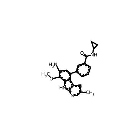 COc1c(N)cc(-c2cccc(C(=O)NC3CC3)c2)c2c1[nH]c1ncc(C)cc12